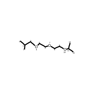 CC(C)COCCOCCOC(C)C